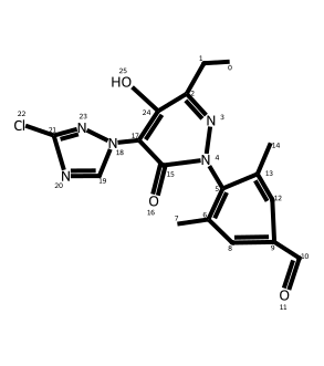 CCc1nn(-c2c(C)cc(C=O)cc2C)c(=O)c(-n2cnc(Cl)n2)c1O